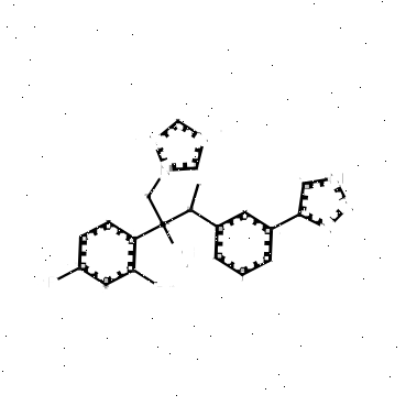 CC(c1cccc(-c2c[nH]nn2)c1)C(O)(Cn1cncn1)c1ccc(F)cc1F